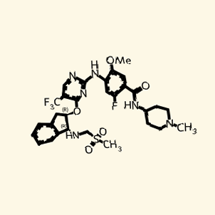 COc1cc(C(=O)NC2CCN(C)CC2)c(F)cc1Nc1ncc(C(F)(F)F)c(O[C@@H]2Cc3ccccc3[C@H]2NCS(C)(=O)=O)n1